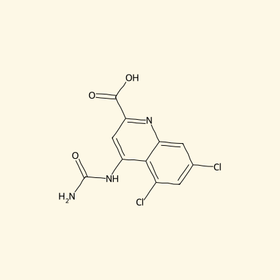 NC(=O)Nc1cc(C(=O)O)nc2cc(Cl)cc(Cl)c12